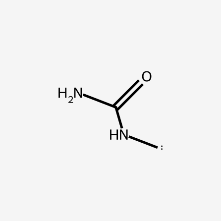 [CH]NC(N)=O